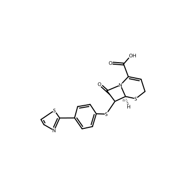 O=C(O)C1=CCS[C@H]2C(Sc3ccc(-c4nccs4)cc3)C(=O)N12